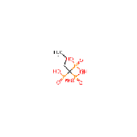 CCCC(P(=O)(O)O)(P(=O)(O)O)P(=O)(O)O